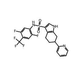 O=S(=O)(Nc1cc(F)c(C(F)(F)F)cc1F)c1c[nH]c2c1CCC(c1ccccn1)C2